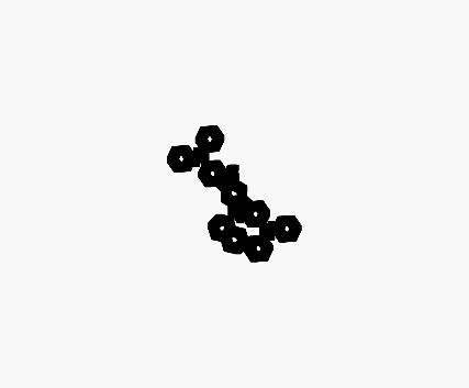 c1ccc(N(c2ccccc2)c2ccc3c(c2)sc2cc4c5ccc(N(c6ccccc6)c6ccccc6)cc5n(-c5cccc6ccccc56)c4cc23)cc1